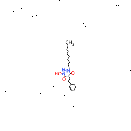 CCCCCCCCCCNC(=O)C(CCc1ccccc1)C(=O)NO